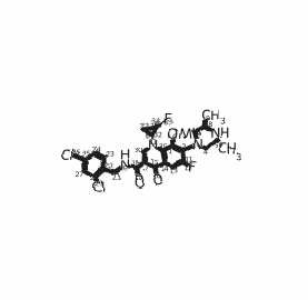 COc1c(N2CC(C)NC(C)C2)c(F)cc2c(=O)c(C(=O)NCc3ccc(Cl)cc3Cl)cn([C@@H]3C[C@@H]3F)c12